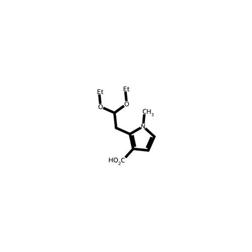 CCOC(Cc1c(C(=O)O)ccn1C)OCC